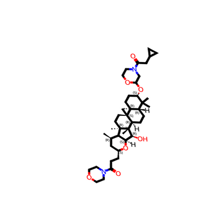 C[C@@H]1C[C@H](CCC(=O)N2CCOCC2)O[C@H]2C1[C@@]1(C)CC[C@@]34C[C@@]35CC[C@H](OC3CN(C(=O)CC6CC6)CCO3)C(C)(C)[C@@H]5CC[C@H]4[C@]1(C)[C@H]2O